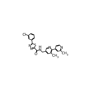 Cc1cc(-c2ncc(CNC(=O)c3nnc(-c4cccc(Cl)c4)s3)cc2C)ccn1